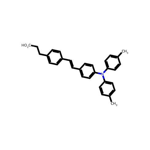 Cc1ccc(N(c2ccc(C)cc2)c2ccc(/C=C/c3ccc(CCC(=O)O)cc3)cc2)cc1